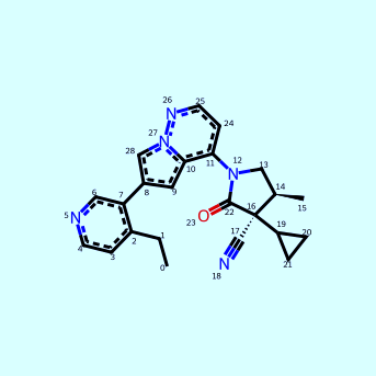 CCc1ccncc1-c1cc2c(N3C[C@@H](C)[C@@](C#N)(C4CC4)C3=O)ccnn2c1